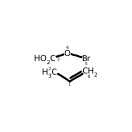 C=CC.O=C(O)OBr